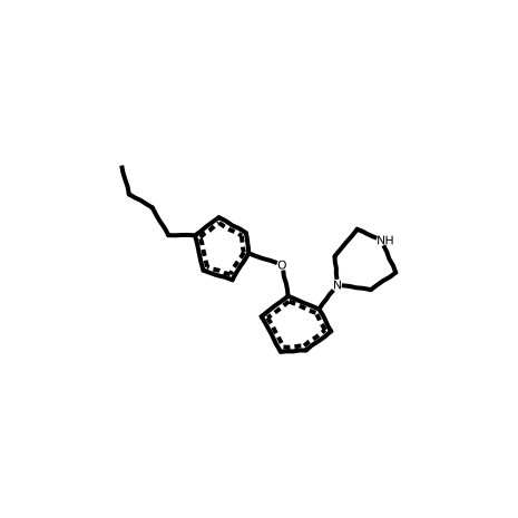 CCCCc1ccc(Oc2ccccc2N2CCNCC2)cc1